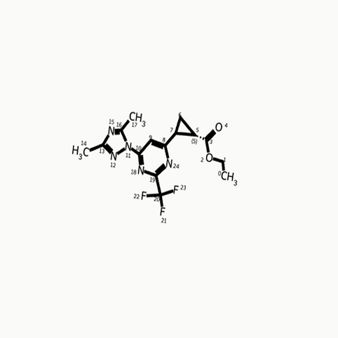 CCOC(=O)[C@H]1CC1c1cc(-n2nc(C)nc2C)nc(C(F)(F)F)n1